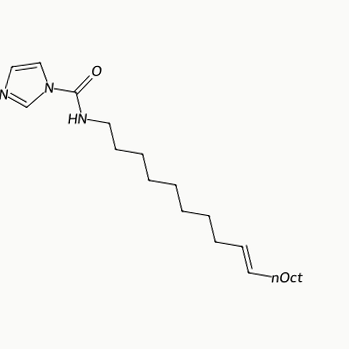 CCCCCCCCC=CCCCCCCCCNC(=O)n1ccnc1